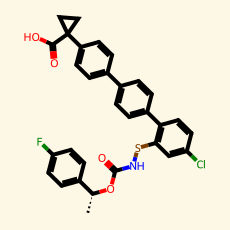 C[C@@H](OC(=O)NSc1cc(Cl)ccc1-c1ccc(-c2ccc(C3(C(=O)O)CC3)cc2)cc1)c1ccc(F)cc1